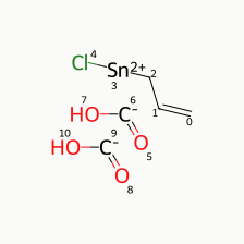 C=C[CH2][Sn+2][Cl].O=[C-]O.O=[C-]O